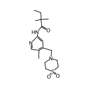 CCC(C)(C)C(=O)Nc1cc(CN2CCS(=O)(=O)CC2)c(C)cn1